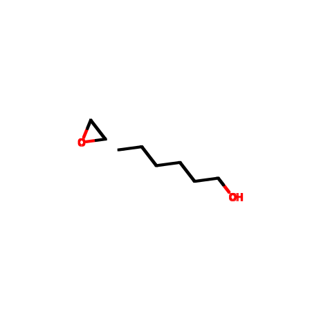 C1CO1.CCCCCCO